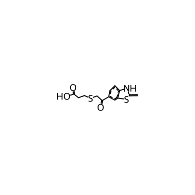 C=C1Nc2ccc(C(=O)CSCCC(=O)O)cc2S1